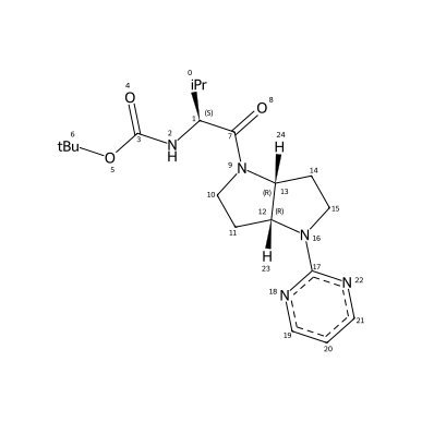 CC(C)[C@H](NC(=O)OC(C)(C)C)C(=O)N1CC[C@@H]2[C@H]1CCN2c1ncccn1